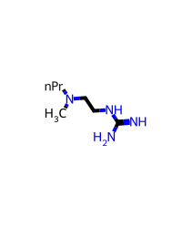 CCCN(C)CCNC(=N)N